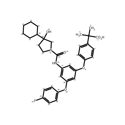 CC(C)(C(=O)O)c1ccc(Oc2cc(NC(=O)N3CCC(O)(C4CCCCC4)C3)cc(Oc3ccc(F)cc3)c2)cc1